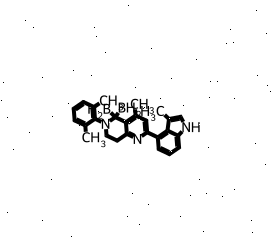 BC1(B)c2c(C)cc(-c3cccc4[nH]cc(C)c34)nc2CCN1c1c(C)cccc1C